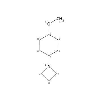 COC1CCC(N2CCC2)CC1